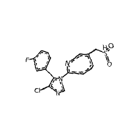 O=[SH](=O)Cc1ccc(-n2cnc(Cl)c2-c2cccc(F)c2)nc1